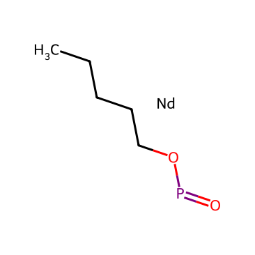 CCCCCOP=O.[Nd]